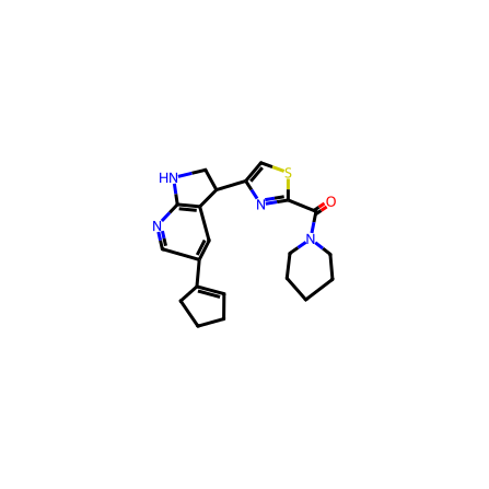 O=C(c1nc(C2CNc3ncc(C4=CCCC4)cc32)cs1)N1CCCCC1